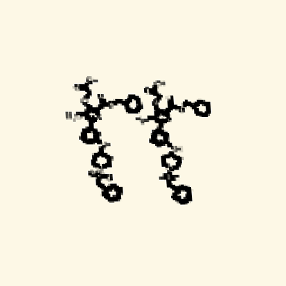 Cc1c(-c2cccc(NC3CCN(S(=O)(=O)Cc4ccccc4)CC3)c2)sc(C(=O)OCC2CCCCC2)c1OCC(=O)O.Cc1c(-c2cccc(NC3CCN(S(=O)(=O)Cc4ccccc4)CC3)c2)sc(C(=O)OCC2CCCCC2)c1OCC(=O)O